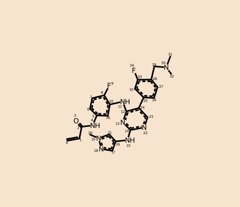 C=CC(=O)Nc1ccc(F)c(Nc2nc(Nc3cnn(C)c3)ncc2-c2ccc(CN(C)C)c(F)c2)c1